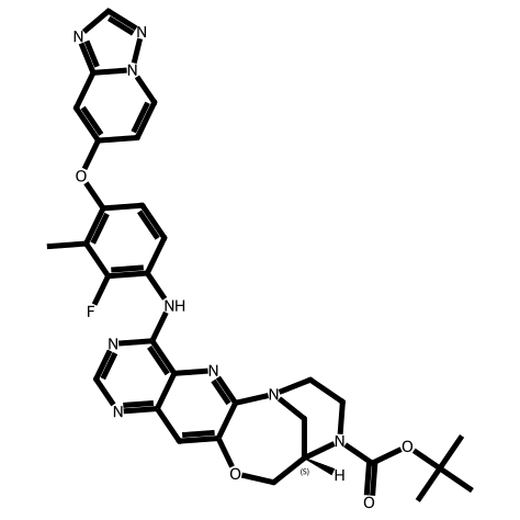 Cc1c(Oc2ccn3ncnc3c2)ccc(Nc2ncnc3cc4c(nc23)N2CCN(C(=O)OC(C)(C)C)[C@H](CO4)C2)c1F